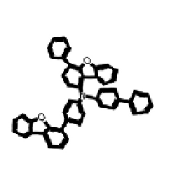 c1ccc(-c2ccc(N(c3ccc(-c4cccc5c4oc4ccccc45)cc3)c3ccc(-c4ccccc4)c4oc5ccccc5c34)cc2)cc1